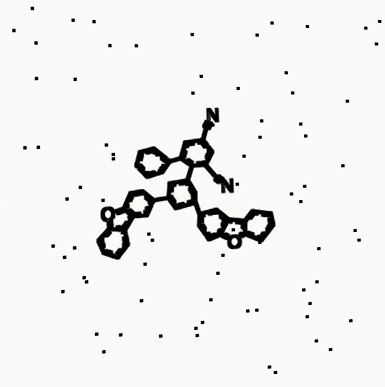 N#Cc1cc(C#N)c(-c2cc(-c3ccc4oc5ccccc5c4c3)cc(-c3ccc4oc5ccccc5c4c3)c2)c(-c2ccccc2)c1